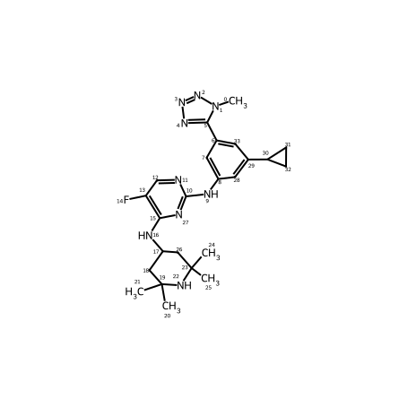 Cn1nnnc1-c1cc(Nc2ncc(F)c(NC3CC(C)(C)NC(C)(C)C3)n2)cc(C2CC2)c1